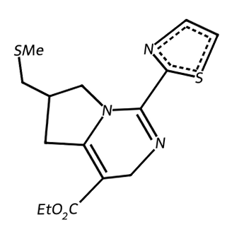 CCOC(=O)C1=C2CC(CSC)CN2C(c2nccs2)=NC1